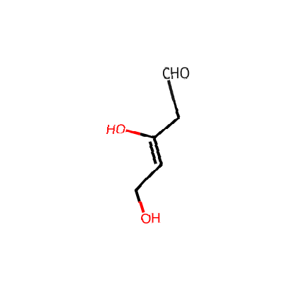 O=CCC(O)=CCO